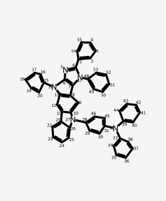 c1ccc(-c2nc3c(c4cc5c(cc4n3-c3ccccc3)c3ccccc3n5-c3ccc(N(c4ccccc4)c4ccccc4)cc3)n2-c2ccccc2)cc1